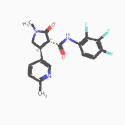 Cc1ccc([C@H]2CN(C)C(=O)[C@@H]2C(=O)Nc2ccc(F)c(F)c2F)cn1